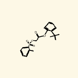 Cc1ccccc1S(=O)(=O)OCC(=O)Oc1ccccc1C(C)(C)C